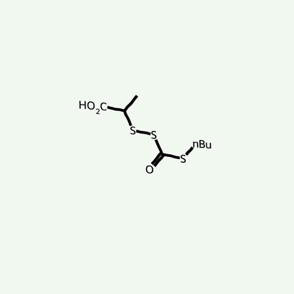 CCCCSC(=O)SSC(C)C(=O)O